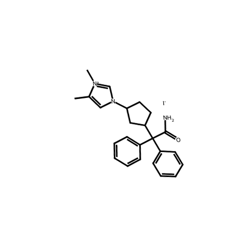 Cc1cn(C2CCC(C(C(N)=O)(c3ccccc3)c3ccccc3)C2)c[n+]1C.[I-]